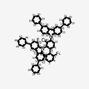 Fc1cccc(F)c1-c1ccc(-n2c3ccc(-c4ccccc4)cc3c3cc(-c4ccccc4)ccc32)c(C(F)(F)F)c1-n1c2ccc(-c3ccccc3)cc2c2cc(-c3ccccc3)ccc21